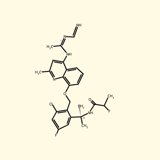 B[C@@](C)(NC(=O)C(C)F)c1cc(F)cc(Cl)c1COc1cccc2c(N/C(C)=N\C=N)cc(C)nc12